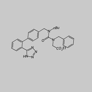 CCCCN(Cc1ccc(-c2ccccc2-c2nnn[nH]2)cc1)C(=O)N(CC(=O)OCC)Cc1ccccc1